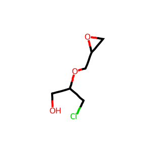 OCC(CCl)OCC1CO1